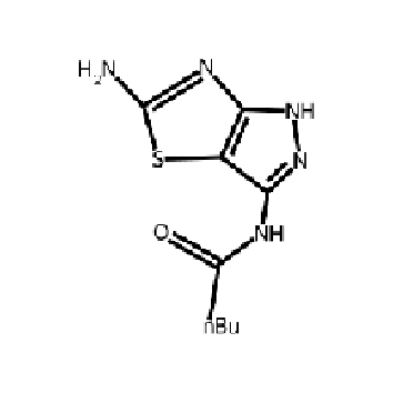 CCCCC(=O)Nc1n[nH]c2nc(N)sc12